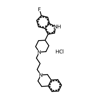 Cl.Fc1ccc2c(C3CCN(CCCN4CCc5ccccc5C4)CC3)c[nH]c2c1